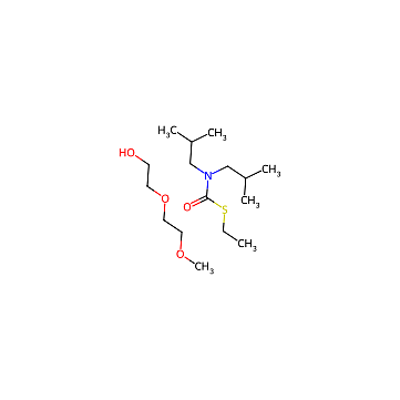 CCSC(=O)N(CC(C)C)CC(C)C.COCCOCCO